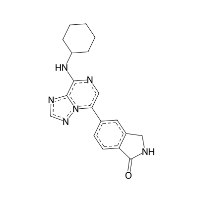 O=C1NCc2cc(-c3cnc(NC4CCCCC4)c4ncnn34)ccc21